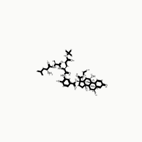 CC(C)C[C@@H](N)C(=O)N[C@@H](C)C(=O)N[C@@H](CCC(=O)OC(C)(C)C)C(=O)Nc1cc(C(=O)O[C@]2(C(=O)SCF)CC[C@H]3[C@@H]4C[C@H](F)C5=CC(=O)C=C[C@]5(C)[C@@]4(F)[C@@H](O)C[C@@]32C)ccc1F